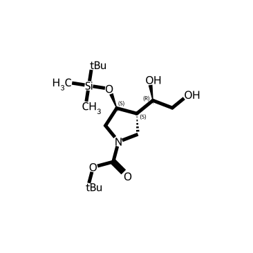 CC(C)(C)OC(=O)N1C[C@@H]([C@@H](O)CO)[C@H](O[Si](C)(C)C(C)(C)C)C1